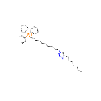 CCCCCCCCc1cn(CCCCCCCCCC[PH](c2ccccc2)(c2ccccc2)c2ccccc2)nn1